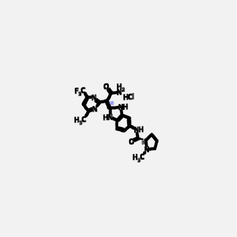 Cc1cc(C(F)(F)F)nc(/C(C(N)=O)=C2\Nc3ccc(NC(=O)[C@@H]4CCCN4C)cc3N2)n1.Cl